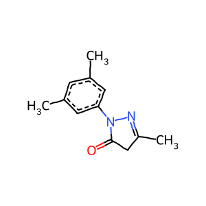 CC1=NN(c2cc(C)cc(C)c2)C(=O)C1